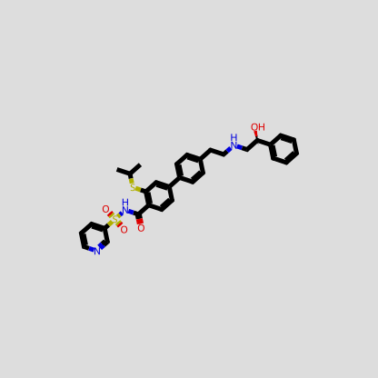 CC(C)Sc1cc(-c2ccc(CCNC[C@@H](O)c3ccccc3)cc2)ccc1C(=O)NS(=O)(=O)c1cccnc1